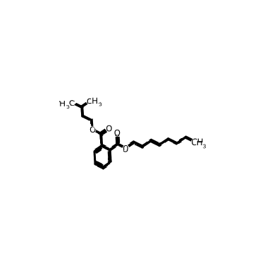 CCCCCCCCOC(=O)c1ccccc1C(=O)OCCC(C)C